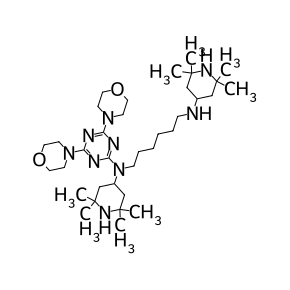 CC1(C)CC(NCCCCCCN(c2nc(N3CCOCC3)nc(N3CCOCC3)n2)C2CC(C)(C)NC(C)(C)C2)CC(C)(C)N1